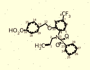 C=CCN(c1ccc(C(F)(F)F)cc1OCc1ccc(C(=O)O)cc1)S(=O)(=O)c1ccccc1